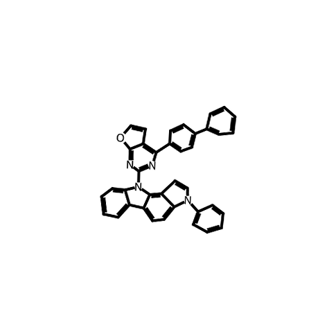 c1ccc(-c2ccc(-c3nc(-n4c5ccccc5c5ccc6c(ccn6-c6ccccc6)c54)nc4occc34)cc2)cc1